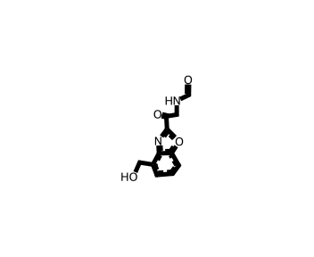 O=CNCC(=O)c1nc2c(CO)cccc2o1